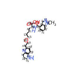 Cn1ncc2c(C(=O)N[C@@H](CCCCOCCc3ccc4c(n3)CCCN4)C(=O)O)cccc21